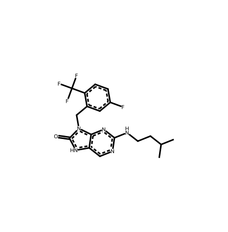 CC(C)CCNc1ncc2[nH]c(=O)n(Cc3cc(F)ccc3C(F)(F)F)c2n1